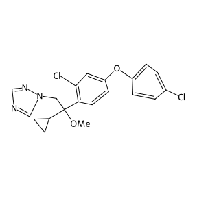 COC(Cn1cncn1)(c1ccc(Oc2ccc(Cl)cc2)cc1Cl)C1CC1